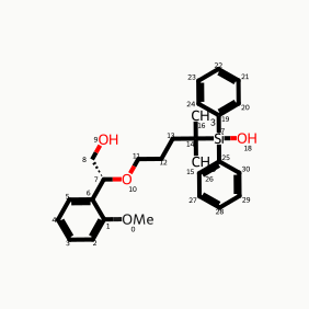 COc1ccccc1[C@H](CO)OCCCC(C)(C)[Si](O)(c1ccccc1)c1ccccc1